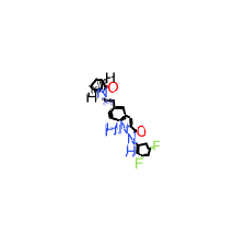 O=C(Nc1cc(F)cc(F)c1)c1cc2cc(/C=C/N3C(=O)[C@@H]4CC[C@H]3C4)ccc2[nH]1